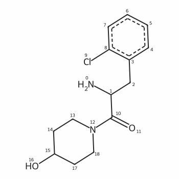 NC(Cc1ccccc1Cl)C(=O)N1CCC(O)CC1